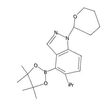 CC(C)c1ccc2c(cnn2C2CCCCO2)c1B1OC(C)(C)C(C)(C)O1